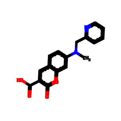 CN(Cc1ccccn1)c1ccc2cc(C(=O)O)c(=O)oc2c1